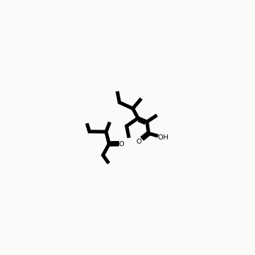 CCC(=C(C)C(=O)O)C(C)CC.CCC(=O)C(C)CC